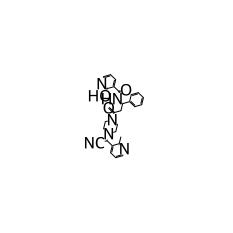 Cc1ncccc1C(C#N)N1CCN(C(=O)CC(NC(=O)c2cccnc2O)c2ccccc2)CC1